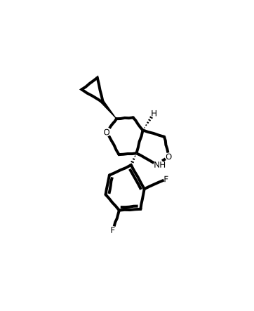 Fc1ccc([C@]23CO[C@@H](C4CC4)C[C@H]2CON3)c(F)c1